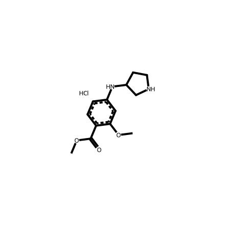 COC(=O)c1ccc(NC2CCNC2)cc1OC.Cl